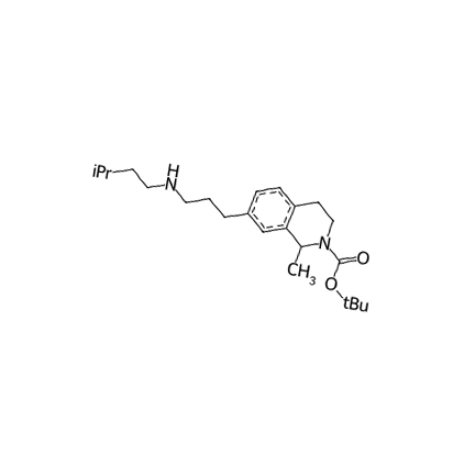 CC(C)CCNCCCc1ccc2c(c1)C(C)N(C(=O)OC(C)(C)C)CC2